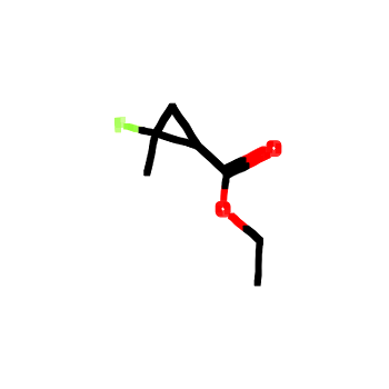 CCOC(=O)C1CC1(C)F